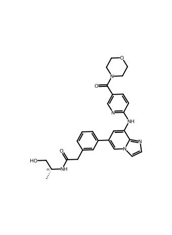 C[C@H](CO)NC(=O)Cc1cccc(-c2cc(Nc3ccc(C(=O)N4CCOCC4)cn3)c3nccn3c2)c1